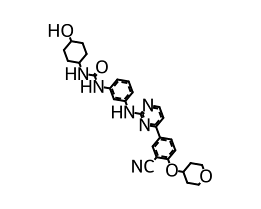 N#Cc1cc(-c2ccnc(Nc3cccc(NC(=O)NC4CCC(O)CC4)c3)n2)ccc1OC1CCOCC1